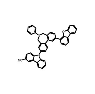 N#Cc1ccc2c(c1)c1ccccc1n2-c1ccc2c(c1)CN(c1ccccc1)Cc1ccc(-c3cccc4c3oc3ccccc34)cc1-2